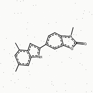 Cc1cc(C)c2cc(-c3ccc4c(c3)oc(=O)n4C)[nH]c2c1